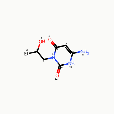 CCC(O)Cn1c(=O)cc(N)[nH]c1=O